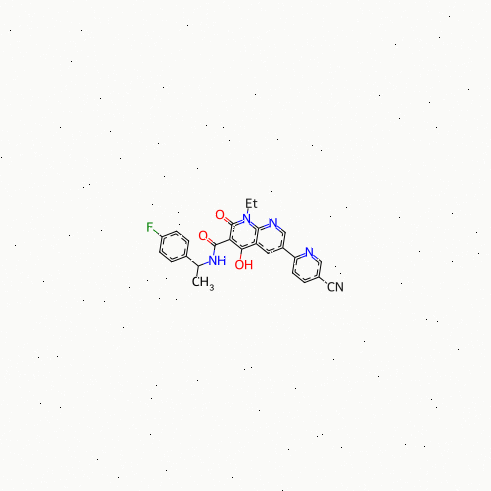 CCn1c(=O)c(C(=O)NC(C)c2ccc(F)cc2)c(O)c2cc(-c3ccc(C#N)cn3)cnc21